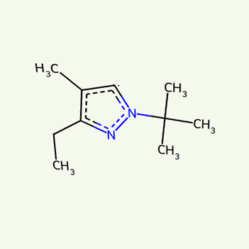 CCc1nn(C(C)(C)C)[c]c1C